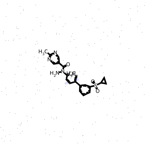 C=C(/C=C\C(=C/C)c1cccc(S(=O)(=O)C2CC2)c1)N(N)C(=O)c1cnc(C)nc1